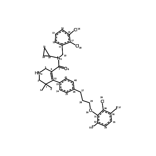 CC1(C)CNCC(C(=O)N(Cc2cccc(Cl)c2Cl)C2CC2)=C1c1ccc(CCCOc2c(F)ccc(F)c2Cl)cc1